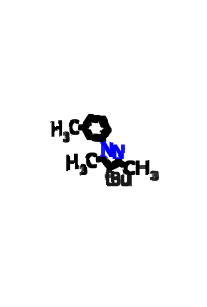 Cc1cccc(-n2nc(C)c(C(C)(C)C)c2C)c1